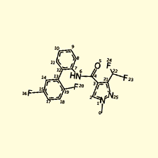 Cn1cc(C(=O)Nc2ccccc2-c2cc(F)ccc2F)c(C(F)F)n1